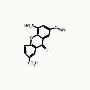 CCCOc1cc(S(=O)(=O)O)c2oc3ccc(C(=O)O)cc3c(=O)c2c1